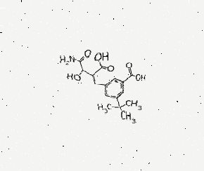 CC(C)(C)c1cc(CC(C(=O)O)C(O)C(N)=O)cc(C(=O)O)c1